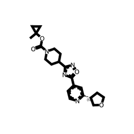 CC1(OC(=O)N2CCC(c3noc(-c4ccnc([C@@H]5CCOC5)c4)n3)CC2)CC1